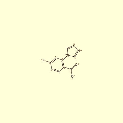 O=[N+]([O-])c1ccc(F)cc1-n1ccnc1